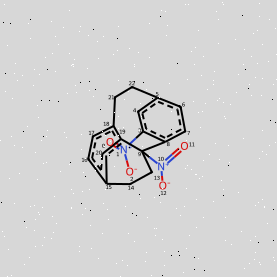 O=[N+]([O-])c1cc2ccc1C1([N+](=O)[O-])CCc3ccc(c1c3)CC2